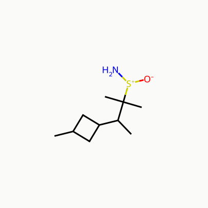 CC1CC(C(C)C(C)(C)[S+](N)[O-])C1